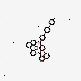 c1ccc(-c2ccc(-c3ccc(N(c4ccc(-c5ccccc5)cc4)c4ccc5cccc6c5c4Oc4c-6cccc4N(c4ccccc4)c4ccccc4)cc3)cc2)cc1